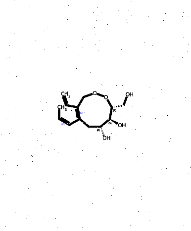 C=C/C1=C(\C=C/C)C[C@@H](O)[C@H](O)[C@@H](CO)OOC1